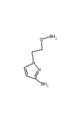 BOCCn1ccc(B)n1